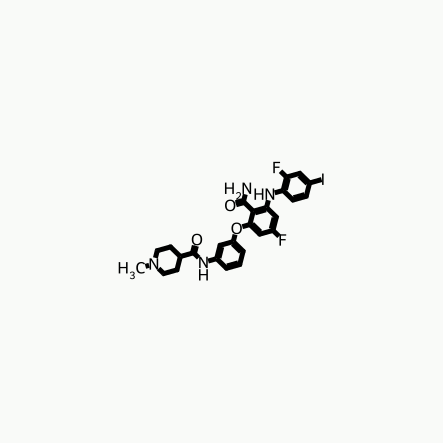 CN1CCC(C(=O)Nc2cccc(Oc3cc(F)cc(Nc4ccc(I)cc4F)c3C(N)=O)c2)CC1